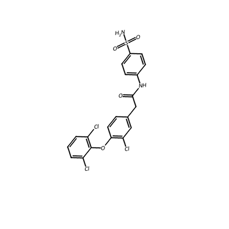 NS(=O)(=O)c1ccc(NC(=O)Cc2ccc(Oc3c(Cl)cccc3Cl)c(Cl)c2)cc1